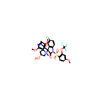 CNC(=O)[C@@H]1C[C@@H](O)C[N+]1(C)C1(c2cc(OC)ccc2OC)C(=O)N(S(=O)(=O)c2ccc(OC)cc2OC(F)(F)F)c2ccc(Cl)cc21